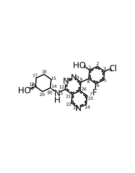 Oc1cc(Cl)cc(F)c1-c1nnc(N[C@@H]2CCC[C@H](O)C2)c2cnccc12